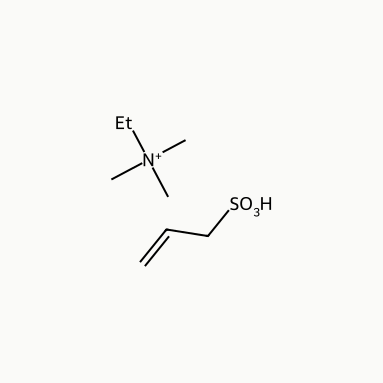 C=CCS(=O)(=O)O.CC[N+](C)(C)C